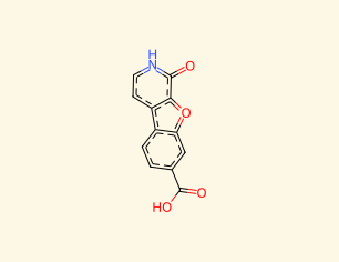 O=C(O)c1ccc2c(c1)oc1c(=O)[nH]ccc12